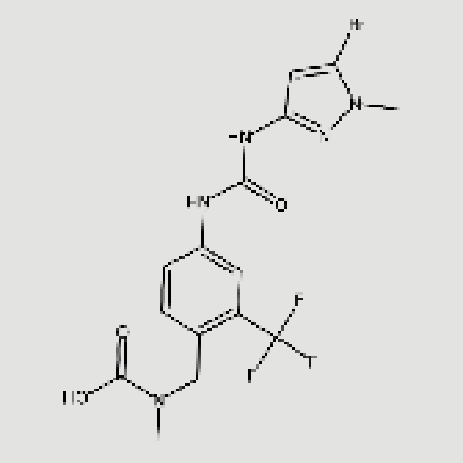 CN(Cc1ccc(NC(=O)Nc2cc(Br)n(C)n2)cc1C(F)(F)F)C(=O)O